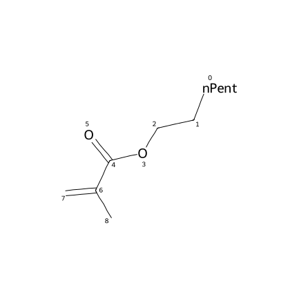 [CH2]CCCCCCOC(=O)C(=C)C